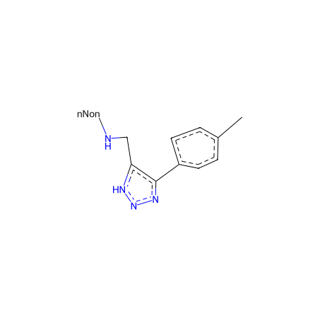 CCCCCCCCCNCc1[nH]nnc1-c1ccc(C)cc1